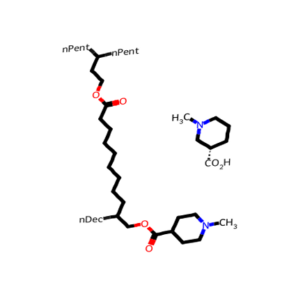 CCCCCCCCCCC(CCCCCCCCC(=O)OCCC(CCCCC)CCCCC)COC(=O)C1CCN(C)CC1.CN1CCC[C@H](C(=O)O)C1